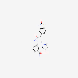 CN(C(=O)Cc1ccc2sc(=O)[nH]c2c1)[C@H](CN1CC[C@@H](O)C1)c1cccc(C(N)=O)c1